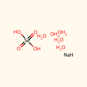 O.O.O.O.O.O=[Se](=O)(O)O.[NaH]